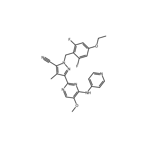 CCOc1cc(F)c(Cn2nc(-c3ncc(OC)c(Nc4ccncc4)n3)c(C)c2C#N)c(F)c1